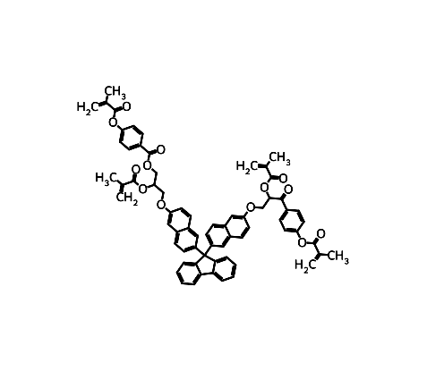 C=C(C)C(=O)Oc1ccc(C(=O)OCC(COc2ccc3cc(C4(c5ccc6cc(OCC(OC(=O)C(=C)C)C(=O)c7ccc(OC(=O)C(=C)C)cc7)ccc6c5)c5ccccc5-c5ccccc54)ccc3c2)OC(=O)C(=C)C)cc1